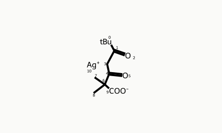 CC(C)(C)C(=O)CC(=O)C(C)(C)C(=O)[O-].[Ag+]